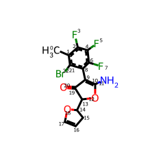 Cc1c(F)c(F)c(F)c(C2=C(N)OC(C3CC=CO3)C2=O)c1Br